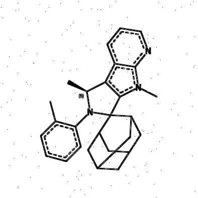 Cc1ccccc1N1[C@@H](C)c2c(n(C)c3ncccc23)C12C1CC3CC(C1)CC2C3